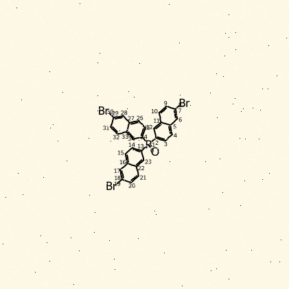 O=P(c1ccc2cc(Br)ccc2c1)(c1ccc2cc(Br)ccc2c1)c1ccc2cc(Br)ccc2c1